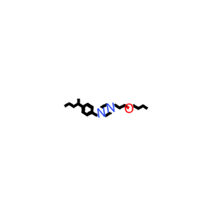 CCCCOCCCN1CCN(Cc2ccc(C(C)CCC)cc2)CC1